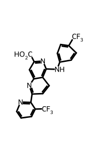 O=C(O)c1cc2nc(-c3ncccc3C(F)(F)F)ccc2c(Nc2ccc(C(F)(F)F)cc2)n1